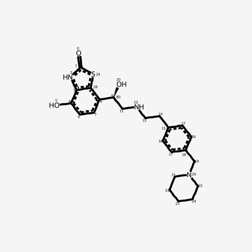 O=c1[nH]c2c(O)ccc([C@@H](O)CNCCc3ccc(CN4CCCCC4)cc3)c2s1